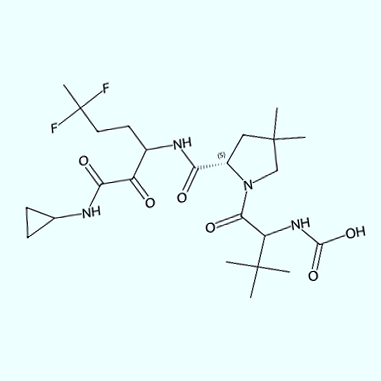 CC(F)(F)CCC(NC(=O)[C@@H]1CC(C)(C)CN1C(=O)C(NC(=O)O)C(C)(C)C)C(=O)C(=O)NC1CC1